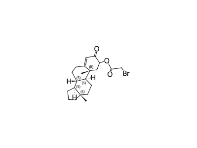 C[C@@]12CCC[C@H]1[C@@H]1CCC3=CC(=O)C(OC(=O)CBr)C[C@]3(C)[C@H]1CC2